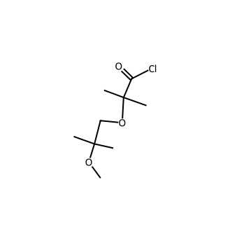 COC(C)(C)COC(C)(C)C(=O)Cl